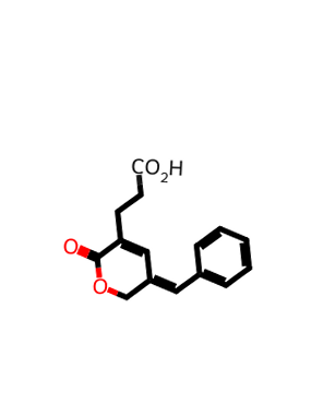 O=C(O)CCC1=C/C(=C\c2ccccc2)COC1=O